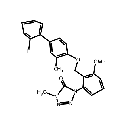 COc1cccc(-n2nnn(C)c2=O)c1COc1ccc(-c2ccccc2F)cc1C